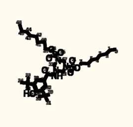 CCCCCCCCOS(=O)(=O)N1CN(NC(=O)c2cc(C(C)(C)C)c(O)c(C(C)(C)C)c2)CN(S(=O)(=O)OCCCCCCCC)C1